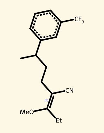 CC/C(OC)=C(\C#N)CCC(C)c1cccc(C(F)(F)F)c1